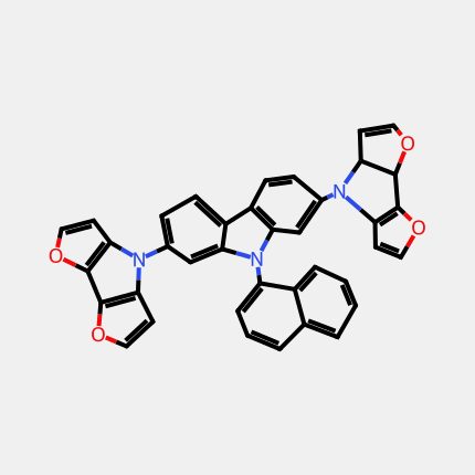 C1=CC2C(O1)c1occc1N2c1ccc2c3ccc(-n4c5ccoc5c5occc54)cc3n(-c3cccc4ccccc34)c2c1